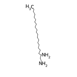 CCCCCCCCCCCCCCCCCCCC(N)CCN